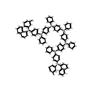 Cc1cccc(N(c2ccc(N(c3ccccc3)c3ccc(N(c4ccccc4)c4ccc(N(c5ccccc5)c5ccc(N(c6ccccc6)c6ccc(N(c7ccccc7)c7ccc(N(c8cccc(C)c8)c8cccc9ccccc89)cc7)cc6)cc5)cc4)cc3)cc2)c2cccc3ccccc23)c1